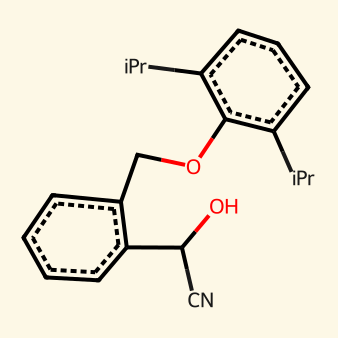 CC(C)c1cccc(C(C)C)c1OCc1ccccc1C(O)C#N